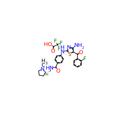 CN1CCC[C@H]1CNC(=O)c1ccc(Nc2nc(N)c(C(=O)c3ccccc3F)s2)cc1.O=C(O)C(F)(F)F